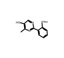 CCCCCCc1ccccc1-c1ncc(O)c(C)n1